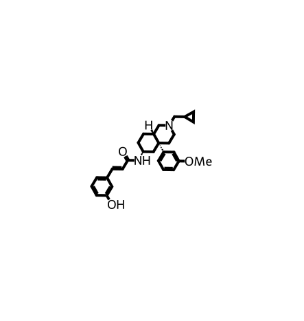 COc1cccc([C@@]23CCN(CC4CC4)C[C@H]2CC[C@@H](NC(=O)C=Cc2cccc(O)c2)C3)c1